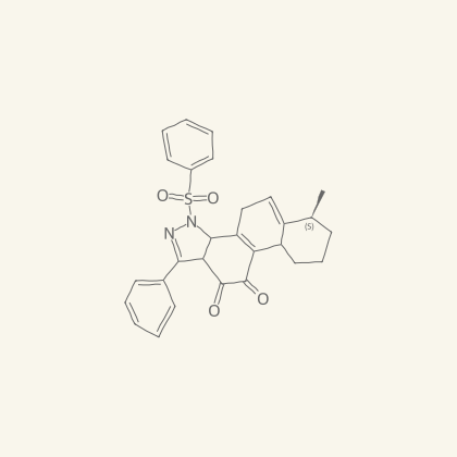 C[C@H]1CCCC2C1=CCC1=C2C(=O)C(=O)C2C(c3ccccc3)=NN(S(=O)(=O)c3ccccc3)C12